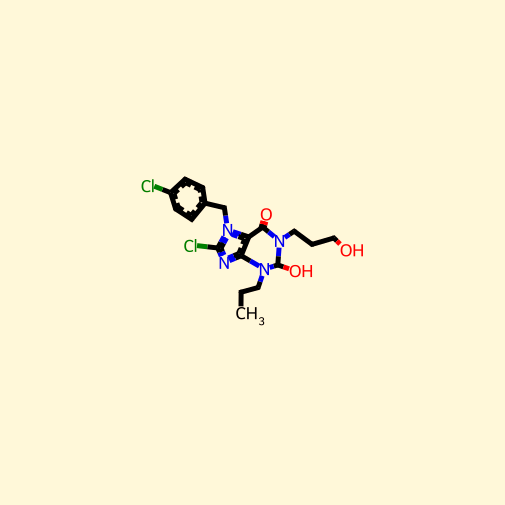 CCCN1c2nc(Cl)n(Cc3ccc(Cl)cc3)c2C(=O)N(CCCO)C1O